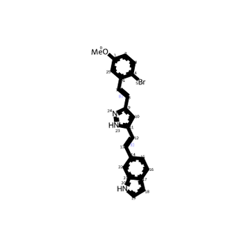 COc1ccc(Br)c(/C=C/c2cc(/C=C/c3ccc4cc[nH]c4c3)[nH]n2)c1